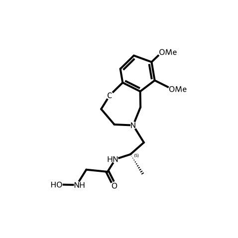 COc1ccc2c(c1OC)CN(C[C@H](C)NC(=O)CNO)CCC2